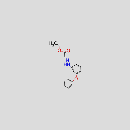 CCOC(=O)C=NNc1cccc(Oc2ccccc2)c1